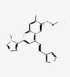 Cn1cncc1-c1cc(/C=C/c2ccoc2)c2cc(CCN)c(Cl)cc2n1